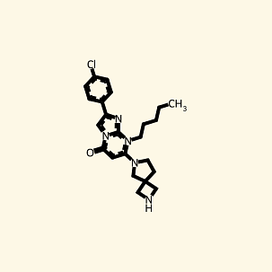 CCCCCn1c(N2CCC3(CNC3)C2)cc(=O)n2cc(-c3ccc(Cl)cc3)nc12